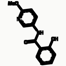 COc1ccc(NC(=O)c2c[c]ccc2O)cn1